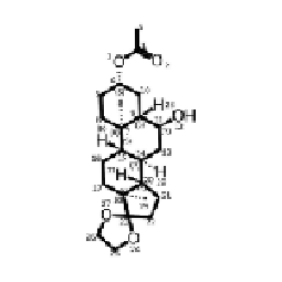 CC(=O)O[C@H]1CC[C@@]2(C)[C@H](C1)[C@@H](O)C[C@@H]1[C@@H]2CC[C@@]2(C)[C@H]1CCC21OCCO1